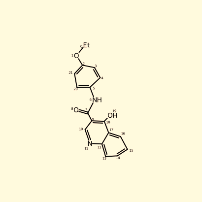 CCOc1ccc(NC(=O)c2cnc3ccccc3c2O)cc1